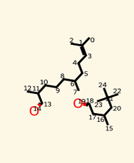 CC(C)=CCCC(C)CCCC(C)C=O.CC(CC=O)CC(C)(C)C